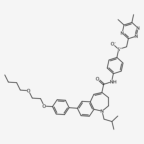 CCCCOCCOc1ccc(-c2ccc3c(c2)C=C(C(=O)Nc2ccc([S+]([O-])Cc4nnc(C)c(C)n4)cc2)CCN3CC(C)C)cc1